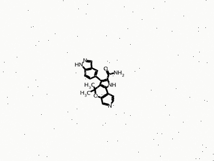 CC1(C)Oc2cnccc2-c2[nH]c(C(N)=O)c(-c3ccc4[nH]ncc4c3)c21